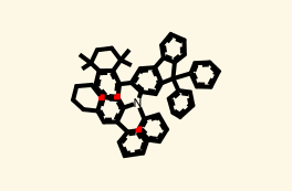 CC1(C)CCC(C)(C)c2c(-c3cc4c(cc3N(c3ccccc3)c3cc5c(cc3-c3ccccc3)CCCC5)C(c3ccccc3)(c3ccccc3)c3ccccc3-4)cccc21